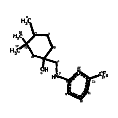 CC1CCC(O)(CNc2cccc(C(F)(F)F)n2)CC1(C)C